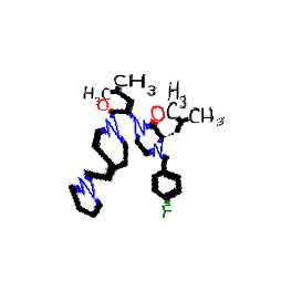 CC(C)CC(C(=O)N1CCC(CCN2CCCC2)CC1)N1CCN(Cc2ccc(F)cc2)[C@@H](CC(C)C)C1=O